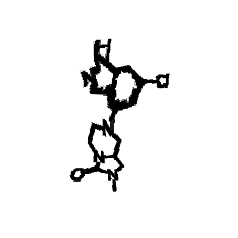 CN1CC2CN(c3cc(Cl)cc4[nH]ncc34)CCN2C1=O